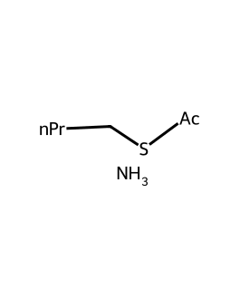 CCCCSC(C)=O.N